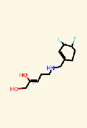 OC/C(O)=C/CCNCC1=CC(F)C(F)CC1